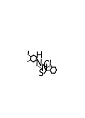 C=Cc1ccc(NCc2nc(-c3ccccc3Cl)cs2)cc1C